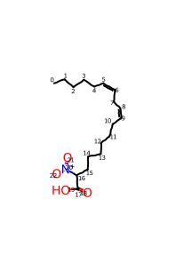 CCCCC/C=C\C/C=C\CCCCCCC(C(=O)O)[N+](=O)[O-]